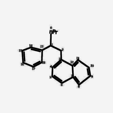 [CH2]CCC(Cc1cccc2ccccc12)c1ccccc1